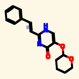 O=c1nc(/C=C/c2ccccc2)[nH]cc1OC1CCCCO1